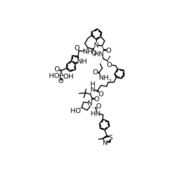 Cc1ncsc1-c1ccc(CNC(=O)[C@@H]2C[C@@H](O)CN2C(=O)[C@@H](NC(=O)CCCCc2cccc(CO[C@H](C)[C@H](CCC(N)=O)NC(=O)[C@@H]3Cc4cccc5c4N3C(=O)C(NC(=O)c3cc4cc(C(=O)P(=O)(O)O)ccc4[nH]3)CC5)c2)C(C)(C)C)cc1